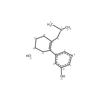 CN(C)CC1=C(c2cncc(O)c2)CCCC1.Cl